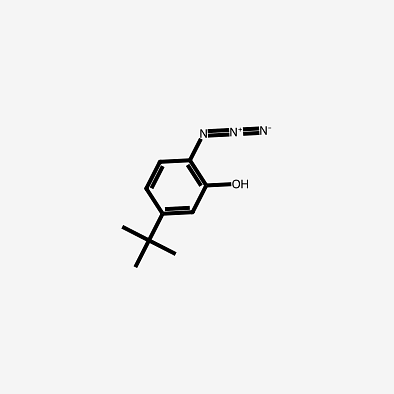 CC(C)(C)c1ccc(N=[N+]=[N-])c(O)c1